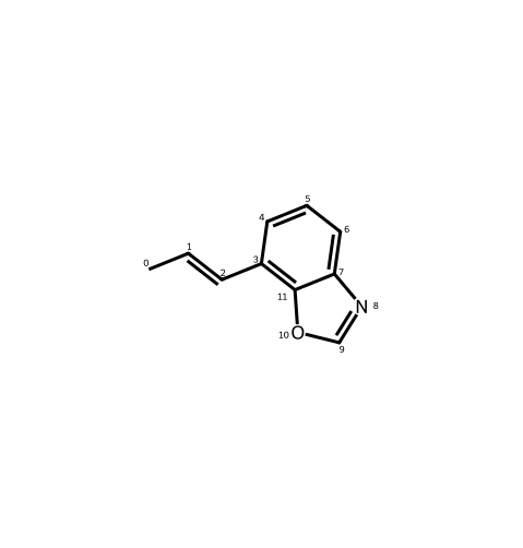 C/C=C/c1cccc2ncoc12